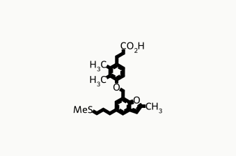 CSCCCc1cc(COc2ccc(CCC(=O)O)c(C)c2C)c2oc(C)cc2c1